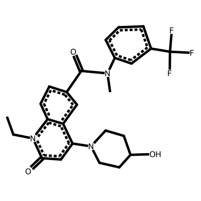 CCn1c(=O)cc(N2CCC(O)CC2)c2cc(C(=O)N(C)c3cccc(C(F)(F)F)c3)ccc21